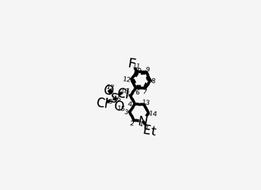 CCN1CCC(Cc2cccc(F)c2)CC1.O=S(=O)(Cl)Cl